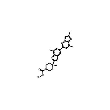 Cc1cn2nc(-c3cc(F)c4nc(C5(C)CCN(C(=O)OC(C)(C)C)CC5)sc4c3)cc(C)c2n1